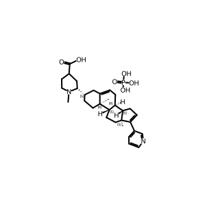 CN1CCC(C(=O)O)CC1[C@H]1CC[C@@]2(C)C(=CC[C@@H]3[C@@H]2CC[C@]2(C)C(c4cccnc4)=CC[C@@H]32)C1.O=P(O)(O)O